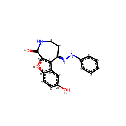 O=C1NCC/C(=N\Nc2ccccc2)c2c1oc1ccc(O)cc21